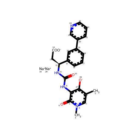 Cc1cn(C)c(=O)c(NC(=O)N[C@@H](CC(=O)[O-])c2cccc(-c3cccnc3)c2)c1[O-].[Na+].[Na+]